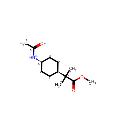 COC(=O)C(C)(C)[C@H]1CC[C@H](NC(C)=O)CC1